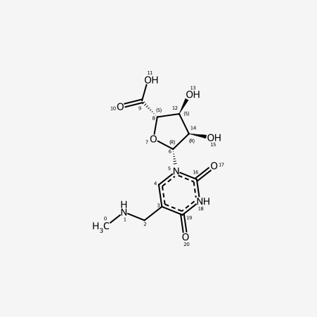 CNCc1cn([C@@H]2O[C@H](C(=O)O)[C@@H](O)[C@H]2O)c(=O)[nH]c1=O